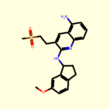 COc1ccc2c(c1)C(Nc1nc3cccc(N)c3cc1CCS(C)(=O)=O)CC2